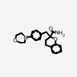 NC(=O)C1(Cc2ccc(N3CCOCC3)cc2)CCc2ccccc2O1